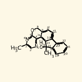 Cc1cnc2c(n1)OCc1ccc3c(c1-2)C(C)(C)c1ccccc1-3